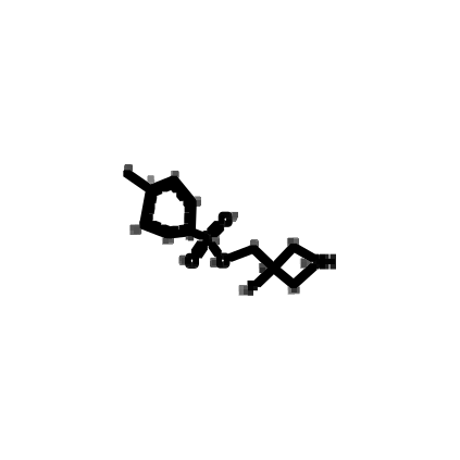 Cc1ccc(S(=O)(=O)OCC2(F)CNC2)cc1